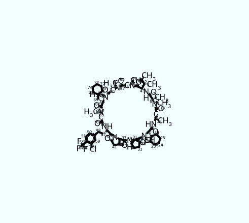 CC[C@H](C)[C@@H]1NC(=O)[C@H](C)N(C)C(=O)C[C@@H](C)NC(=O)[C@H](C2CCCCC2)N(C)C(=O)C2(CCCC2)NC(=O)[C@@H]2CCCN2C(=O)[C@H](CCc2ccc(C(F)(F)F)c(Cl)c2)NC(=O)CN(C)C(=O)[C@H](CC2CCCCC2)N(C)C(=O)CN(C)C(=O)CN(C)C1=O